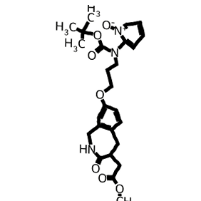 COC(=O)CC1Cc2ccc(OCCCN(C(=O)OC(C)(C)C)c3cccc[n+]3[O-])cc2CNC1=O